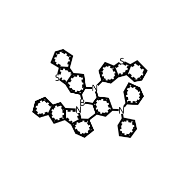 c1ccc(N(c2ccccc2)c2cc3c4c(c2)N(c2ccc5sc6ccccc6c5c2)c2cc5c(cc2B4n2c4cc6ccccc6cc4c4cccc-3c42)sc2ccccc25)cc1